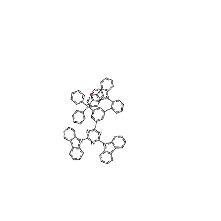 c1ccc([Si](c2ccccc2)(c2ccccc2)c2cc(-c3nc(-n4c5ccccc5c5ccccc54)nc(-n4c5ccccc5c5ccccc54)n3)cc(-c3ccccc3-n3c4ccccc4c4ccccc43)c2)cc1